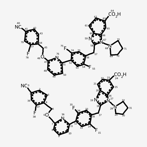 N#Cc1ccc(COc2cccc(-c3cc(F)c(Cc4nc5ccc(C(=O)O)cc5n4N4CCCC4)cc3F)n2)c(F)c1.N#Cc1ccc(COc2cccc(-c3cc(F)c(Cc4nc5ccc(C(=O)O)cc5n4N4CCCC4)cc3F)n2)c(F)c1